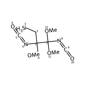 COC(C[SiH3])(N=C=O)C(N=C=O)(OC)OC